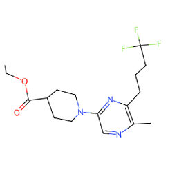 CCOC(=O)C1CCN(c2cnc(C)c(CCCC(F)(F)F)n2)CC1